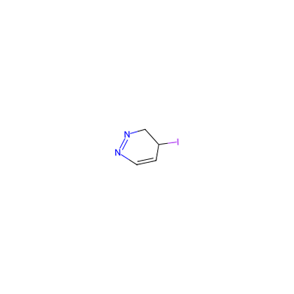 IC1C=CN=NC1